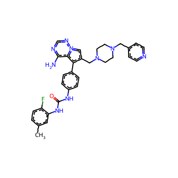 Cc1ccc(F)c(NC(=O)Nc2ccc(-c3c(CN4CCN(Cc5ccncc5)CC4)cn4ncnc(N)c34)cc2)c1